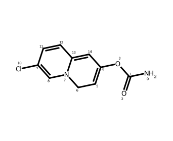 NC(=O)OC1=CCN2C=C(Cl)C=CC2=C1